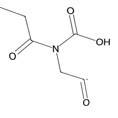 CCC(=O)N(C[C]=O)C(=O)O